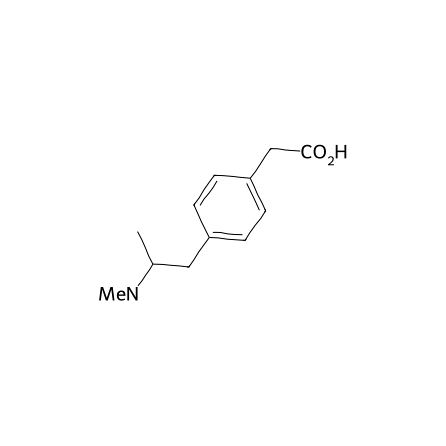 CNC(C)Cc1ccc(CC(=O)O)cc1